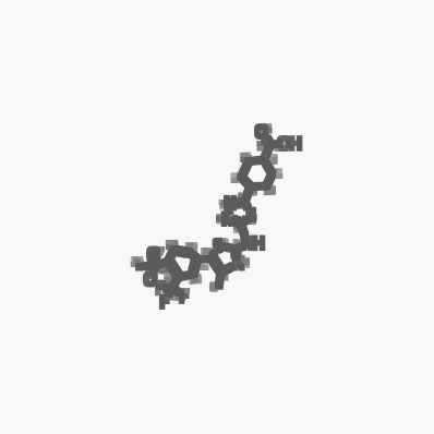 Cc1nc(Nc2nnc(C3CCC(C(=O)O)CC3)s2)sc1-c1ccc(S(C)(=O)=O)c(C(F)(F)F)c1